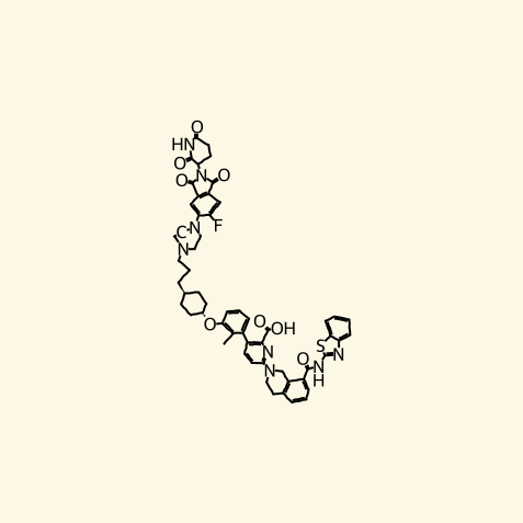 Cc1c(O[C@H]2CC[C@H](CCCN3CCN(c4cc5c(cc4F)C(=O)N(C4CCC(=O)NC4=O)C5=O)CC3)CC2)cccc1-c1ccc(N2CCc3cccc(C(=O)Nc4nc5ccccc5s4)c3C2)nc1C(=O)O